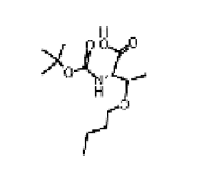 CCCCO[C@H](C)[C@H](NC(=O)OC(C)(C)C)C(=O)O